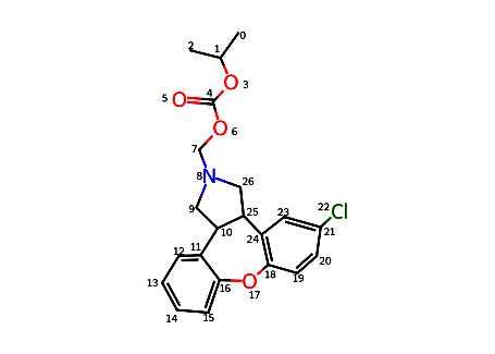 CC(C)OC(=O)OCN1CC2c3ccccc3Oc3ccc(Cl)cc3C2C1